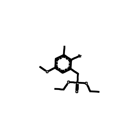 CCOP(=O)(Cc1cc(OC)cc(C)c1Br)OCC